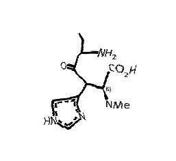 CN[C@H](C(=O)O)C(C(=O)C(C)N)c1c[nH]cn1